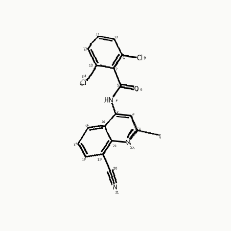 Cc1cc(NC(=O)c2c(Cl)cccc2Cl)c2cccc(C#N)c2n1